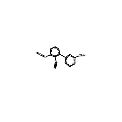 C#Cc1c(N=C=S)cccc1-c1cccc(OC)c1